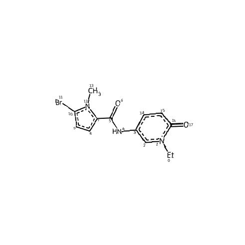 CCn1cc(NC(=O)c2ccc(Br)n2C)ccc1=O